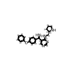 N=C(c1ccc(Oc2ccccc2)cc1)c1cncnc1NC[C@H]1CCCN1